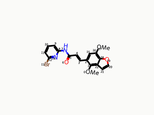 COc1c(/C=C/C(=O)Nc2cccc(Br)n2)cc(OC)c2occc12